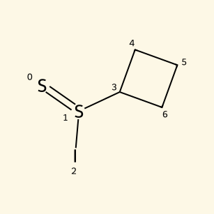 S=S(I)C1CCC1